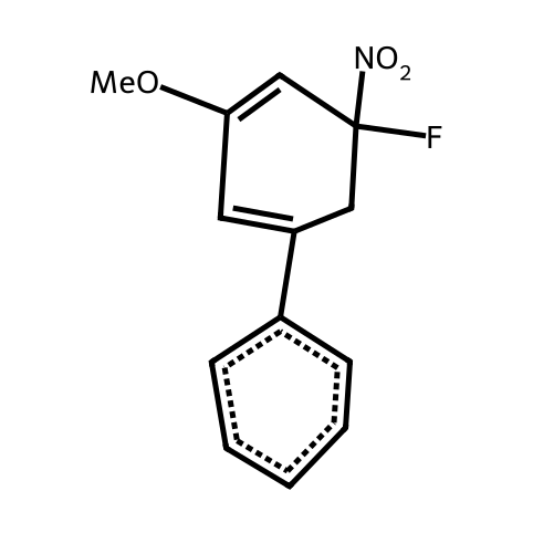 COC1=CC(F)([N+](=O)[O-])CC(c2ccccc2)=C1